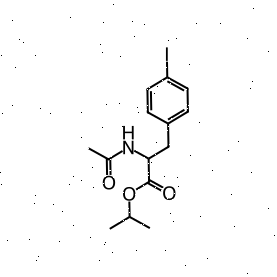 CC(=O)NC(Cc1ccc(I)cc1)C(=O)OC(C)C